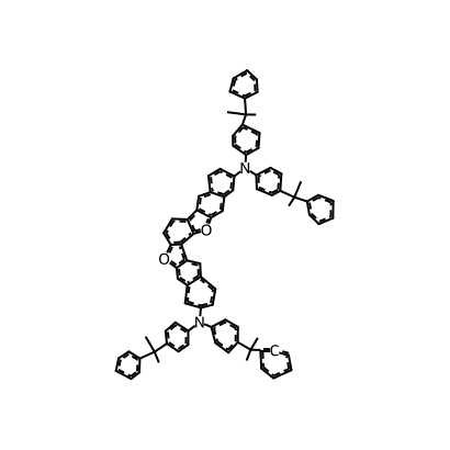 CC(C)(c1ccccc1)c1ccc(N(c2ccc(C(C)(C)c3ccccc3)cc2)c2ccc3cc4c(cc3c2)oc2c4ccc3oc4cc5cc(N(c6ccc(C(C)(C)c7ccccc7)cc6)c6ccc(C(C)(C)c7ccccc7)cc6)ccc5cc4c32)cc1